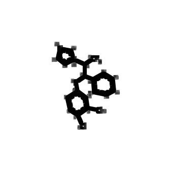 FC(F)(F)C(C(Sc1ccc(Cl)c(Cl)c1)c1ccccc1)n1ccnc1